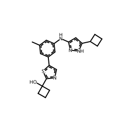 Cc1cc(Nc2cc(C3CCC3)[nH]n2)cc(-c2cnc(C3(O)CCC3)s2)c1